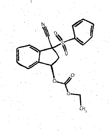 CCOC(=O)OC1CC(C#N)(S(=O)(=O)c2ccccc2)c2ccccc21